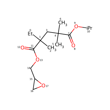 CCC(C)(CC(C)(C)C(=O)OC(C)C)C(=O)OCC1CO1